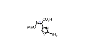 CO/N=C(/C(=O)O)c1csc(N)n1